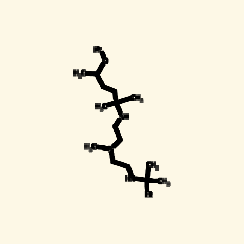 CCC(C)(C)NCCN(C)CCNC(C)(C)CCC(C)OC(C)C